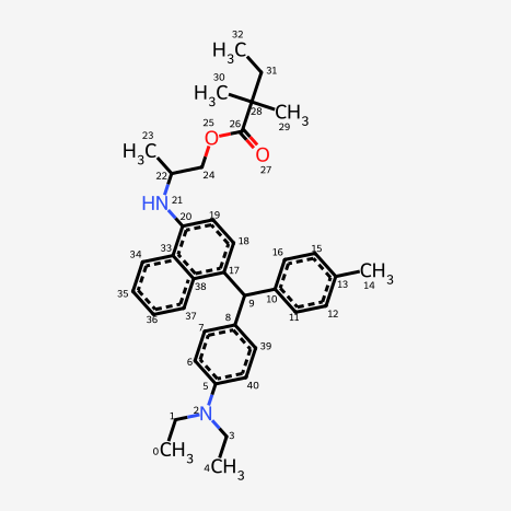 CCN(CC)c1ccc(C(c2ccc(C)cc2)c2ccc(NC(C)COC(=O)C(C)(C)CC)c3ccccc23)cc1